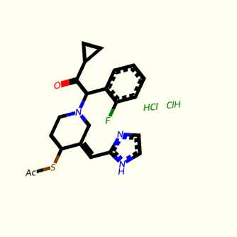 CC(=O)SC1CCN(C(C(=O)C2CC2)c2ccccc2F)C/C1=C\c1ncc[nH]1.Cl.Cl